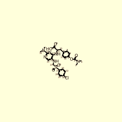 CN(C)C(=O)Oc1ccc(CC(Nc2nc(N(C)C)ncc2NCS(=O)(=O)c2ccc(Cl)cc2)C(=O)O)cc1